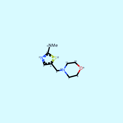 CNc1ncc(CN2CCOCC2)s1